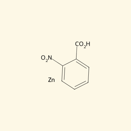 O=C(O)c1ccccc1[N+](=O)[O-].[Zn]